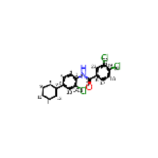 O=C(Nc1ccc(C2CCCCC2)cc1Cl)c1ccc(Cl)c(Cl)c1